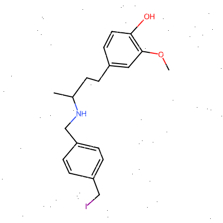 COc1cc(CCC(C)NCc2ccc(CI)cc2)ccc1O